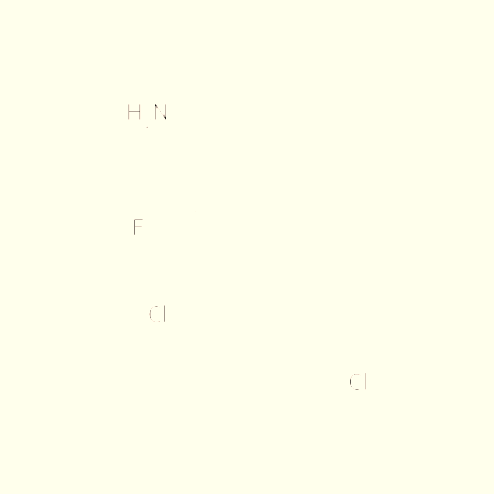 NCC(F)c1ccc(Cl)cc1Cl